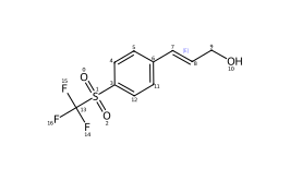 O=S(=O)(c1ccc(/C=C/CO)cc1)C(F)(F)F